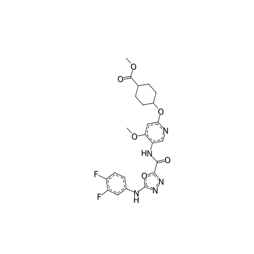 COC(=O)C1CCC(Oc2cc(OC)c(NC(=O)c3nnc(Nc4ccc(F)c(F)c4)o3)cn2)CC1